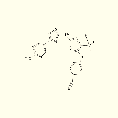 COc1ncc(-c2csc(Nc3ccc(Oc4ccc(C#N)cc4)c(C(F)(F)F)c3)n2)cn1